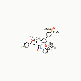 COP(=O)(OC)c1ccc(-c2ccc([C@@H]3[C@@H](CC[C@H](O[Si](C)(C)C(C)(C)C)c4ccc(F)cc4)C(=O)N3c3ccccc3)c(O[Si](C)(C)C(C)(C)C)c2)cc1